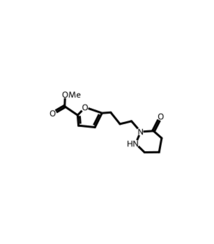 COC(=O)c1ccc(CCCN2NCCCC2=O)o1